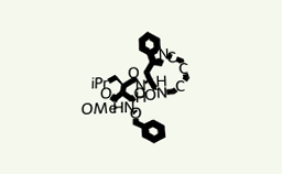 COC(=O)C(C(=O)NOCc1ccccc1)[C@@H](CC(C)C)C(=O)N[C@H]1Cc2cn(c3ccccc23)CCCCCCNC1=O